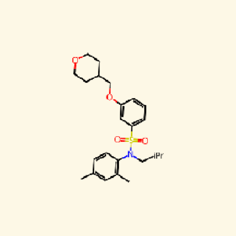 Cc1ccc(N(CC(C)C)S(=O)(=O)c2cccc(OCC3CCOCC3)c2)c(C)c1